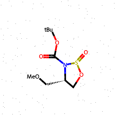 COC[C@H]1COS(=O)N1C(=O)OC(C)(C)C